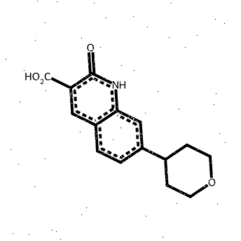 O=C(O)c1cc2ccc(C3CCOCC3)cc2[nH]c1=O